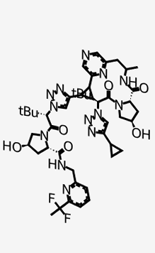 CC(Cc1cncc(C2CC2c2cn([C@H](C(=O)N3C[C@H](O)C[C@H]3C(=O)NCc3cccc(C(C)(F)F)n3)C(C)(C)C)nn2)n1)NC(=O)[C@@H]1C[C@@H](O)CN1C(=O)[C@@H](n1cc(C2CC2)nn1)C(C)(C)C